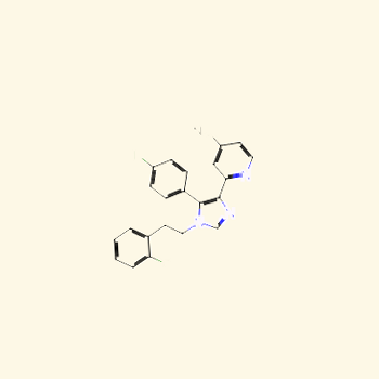 N#Cc1ccnc(-c2ncn(CCc3ccccc3Cl)c2-c2ccc(F)cc2)c1